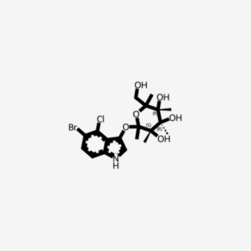 CC1(CO)OC(C)(Oc2c[nH]c3ccc(Br)c(Cl)c23)[C@@](C)(O)[C@](C)(O)[C@@]1(C)O